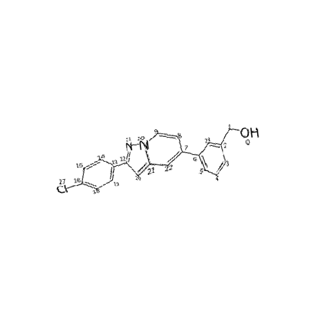 OCc1cccc(-c2ccn3nc(-c4ccc(Cl)cc4)cc3c2)c1